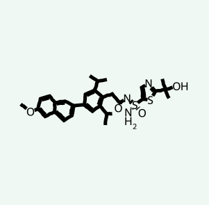 COc1ccc2cc(-c3cc(C(C)C)c(CC(=O)N=S(N)(=O)c4cnc(C(C)(C)O)s4)c(C(C)C)c3)ccc2c1